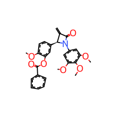 C=C1C(=O)N(c2cc(OC)c(OC)c(OC)c2)[C@H]1c1ccc(OC)c(OC(=O)c2ccccc2)c1